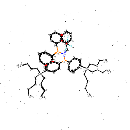 CCCC[Si](CCCC)(CCCC)c1ccc(P(c2ccc([Si](CCCC)(CCCC)CCCC)cc2)N(Cc2ccccc2)P(c2ccccc2)c2ccccc2C(F)(F)F)cc1